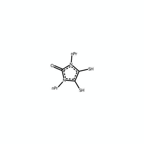 CCCn1c(S)c(S)n(CCC)c1=O